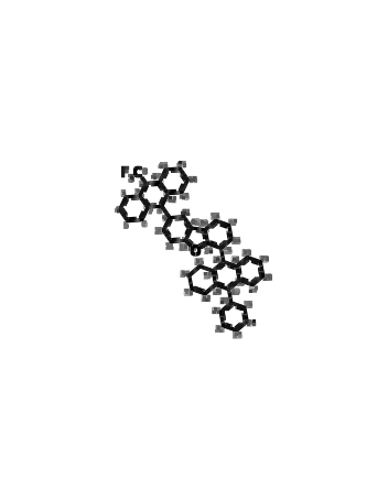 FC(F)(F)c1c2ccccc2c(-c2ccc3oc4c(-c5c6c(c(-c7ccccc7)c7ccccc57)C=CCC6)cccc4c3c2)c2ccccc12